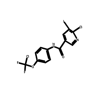 O=C(Nc1ccc(OC(F)(F)Cl)cc1)c1cnc(Cl)c(I)c1